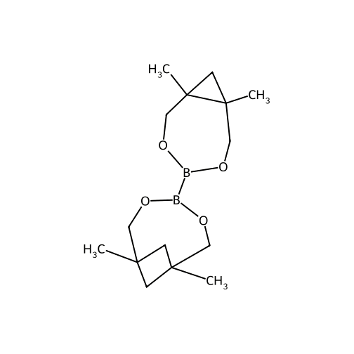 CC12COB(B3OCC4(C)CC4(C)CO3)OCC(C)(C1)C2